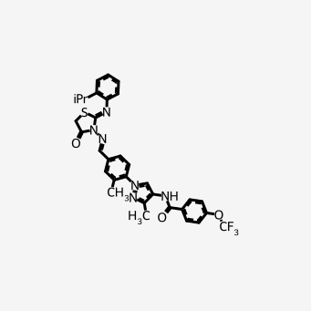 Cc1cc(C=NN2C(=O)CS/C2=N\c2ccccc2C(C)C)ccc1-n1cc(NC(=O)c2ccc(OC(F)(F)F)cc2)c(C)n1